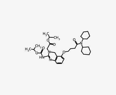 CC(C)OC(=O)CN1Cc2c(cccc2OCCCC(=O)N(C2CCCCC2)C2CCCCC2)N=C1NC(=O)OC(C)C